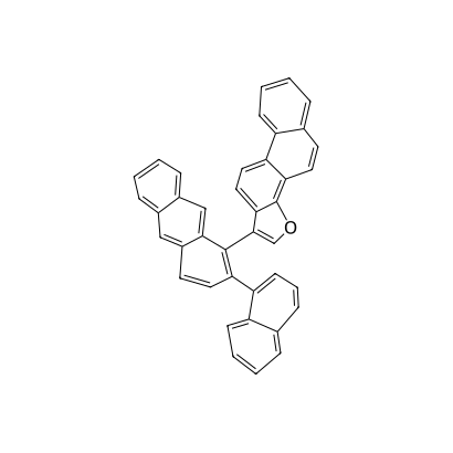 c1ccc2cc3c(-c4coc5c4ccc4c6ccccc6ccc45)c(-c4cccc5ccccc45)ccc3cc2c1